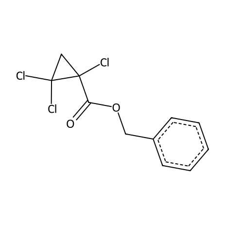 O=C(OCc1ccccc1)C1(Cl)CC1(Cl)Cl